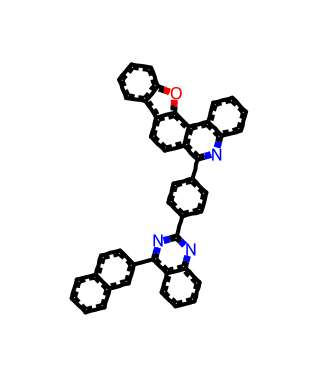 c1ccc2cc(-c3nc(-c4ccc(-c5nc6ccccc6c6c5ccc5c7ccccc7oc56)cc4)nc4ccccc34)ccc2c1